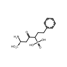 N[C@@H](CC(=O)C(CCc1ccccc1)P(=O)(O)O)C(=O)O